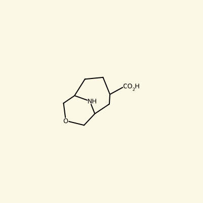 O=C(O)C1CCC2COCC(C1)N2